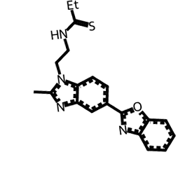 CCC(=S)NCCn1c(C)nc2cc(-c3nc4ccccc4o3)ccc21